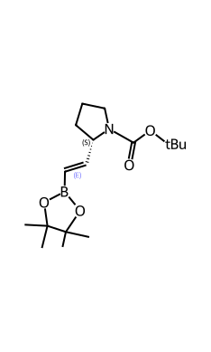 CC(C)(C)OC(=O)N1CCC[C@H]1/C=C/B1OC(C)(C)C(C)(C)O1